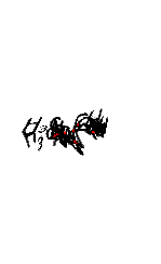 CCOc1ncc2ncnc(Nc3ccc(Oc4ccc5nncn5c4)c(C)c3)c2c1O[C@@H]1CCN(C)CC1(F)F